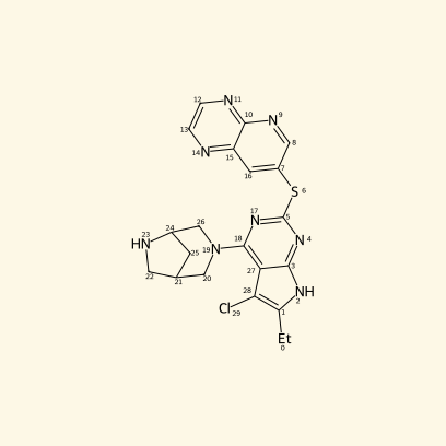 CCc1[nH]c2nc(Sc3cnc4nccnc4c3)nc(N3CC4CNC(C4)C3)c2c1Cl